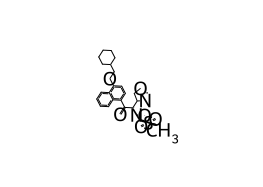 CS(=O)(=O)O/N=C(/C(=O)c1ccc(OCC2CCCCC2)c2ccccc12)C1COC=N1